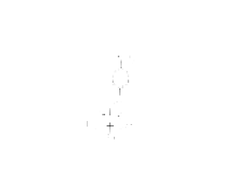 COC(C)(C)C(C)(C)OBc1ccc(C(=O)O)cc1